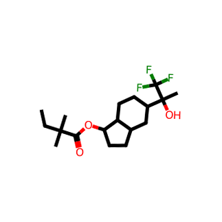 CCC(C)(C)C(=O)OC1CCC2CC(C(C)(O)C(F)(F)F)CCC21